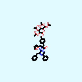 CC(=O)OCC1OC(OCc2ccc(CC3(Cc4ccco4)N=C4C(Cc5ccccc5)=NC(c5ccccc5)=CN4C3=O)cc2)C(OC(C)=O)C(OC(C)=O)C1OC(C)=O